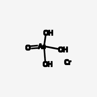 O=[As](O)(O)O.[Cr]